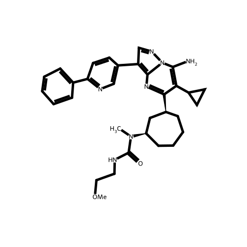 COCCNC(=O)N(C)[C@@H]1CCCC[C@H](c2nc3c(-c4ccc(-c5ccccc5)nc4)cnn3c(N)c2C2CC2)C1